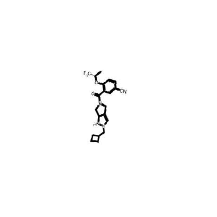 C[C@H](Oc1ccc(C#N)cc1C(=O)N1CC2=CN(CC3CCC3)NC2C1)C(F)(F)F